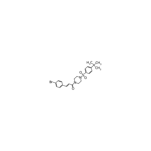 CC(C)(C)c1ccc(S(=O)(=O)N2CCN(C(=O)C=Cc3ccc(Br)cc3)CC2)cc1